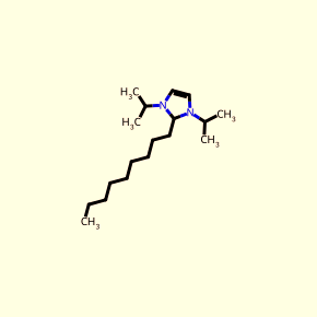 CCCCCCCCCC1N(C(C)C)C=CN1C(C)C